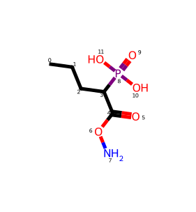 CCCC(C(=O)ON)P(=O)(O)O